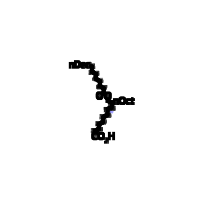 CCCCCCCCCCCCCCCCCC(=O)OCC(/C=C/CCCCCCC(=O)O)CCCCCCCC